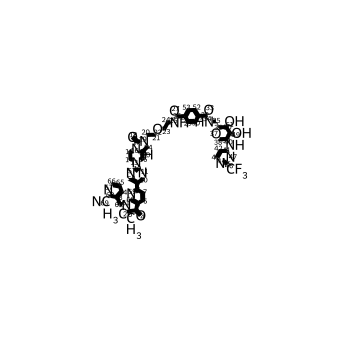 CC1(C)C(=O)c2ccc(-c3cnc(N4CCN5C(=O)N(CCOCCNC(=O)c6ccc(C(=O)NC[C@H]7OC[C@H](Nc8ccnc(C(F)(F)F)n8)[C@@H](O)[C@H]7O)cc6)C[C@@H]5C4)nc3)nc2N1Cc1cccnc1C#N